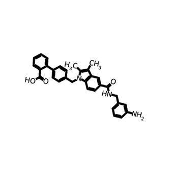 Cc1c(C)n(Cc2ccc(-c3ccccc3C(=O)O)cc2)c2ccc(C(=O)NCc3cccc(N)c3)cc12